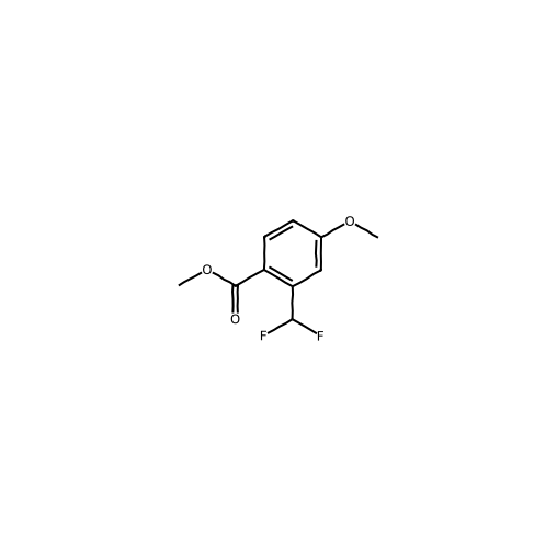 COC(=O)c1ccc(OC)cc1C(F)F